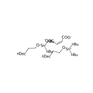 CCCCCCCCCCCC[O][Sn+]([CH2]CCC)[CH2]CCC.CCCCCCCCCCCC[O][Sn+]([CH2]CCC)[CH2]CCC.O=C([O-])/C=C\C(=O)[O-]